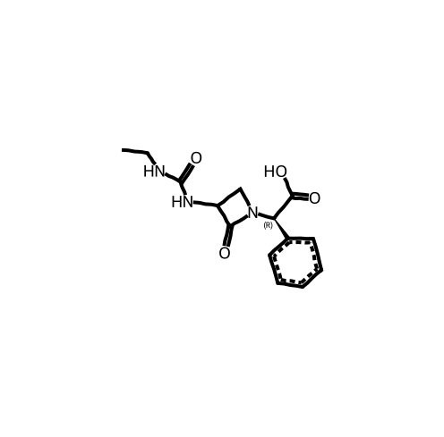 CCNC(=O)NC1CN([C@@H](C(=O)O)c2ccccc2)C1=O